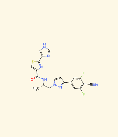 C[C@@H](Cn1ccc(-c2cc(F)c(C#N)c(F)c2)n1)NC(=O)c1csc(-c2c[nH]cn2)n1